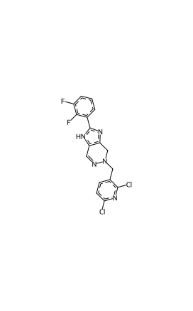 Fc1cccc(-c2nc3c([nH]2)C=NN(Cc2ccc(Cl)nc2Cl)C3)c1F